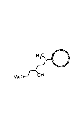 COCCC(O)CCN(C)c1ccccccccc1